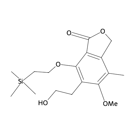 COc1c(C)c2c(c(OCC[Si](C)(C)C)c1CCO)C(=O)OC2